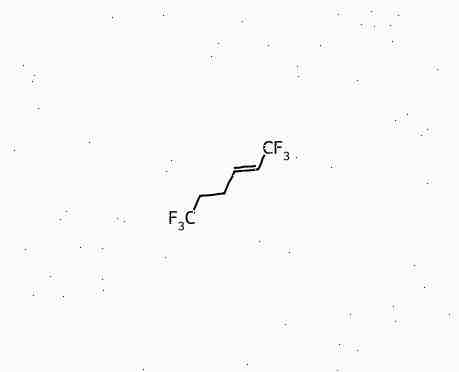 FC(F)(F)C=CCCC(F)(F)F